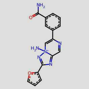 NC(=O)c1cccc(C2=C[N+]3(N)N=C(c4ccco4)N=C3C=N2)c1